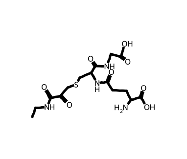 CCNC(=O)C(=O)CSCC(NC(=O)CCC(N)C(=O)O)C(=O)NCC(=O)O